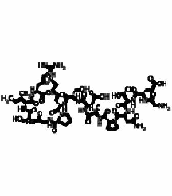 CC[C@H](C)[C@H](NC(=O)[C@H](CO)NC(=O)CNC(=O)[C@@H]1CCCN1C(=O)[C@H](CCCCN)NC(=O)[C@H](CO)NC(=O)[C@H](CC(=O)O)NC(=O)[C@H](C)NC(=O)[C@@H]1CCCN1C(=O)[C@H](CC(N)=O)NC(=O)[C@@H](NC(=O)[C@H](CCC(=O)O)NC(=O)CN)[C@@H](C)O)C(=O)N[C@@H](CCCNC(=N)N)C(=O)O